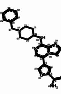 NC(=O)c1cc(-c2cnc(NC3CCN(Cc4ccccc4)CC3)c3nccn23)co1